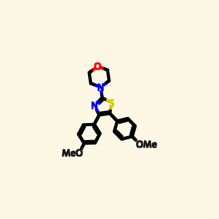 COc1ccc(-c2nc(N3CCOCC3)sc2-c2ccc(OC)cc2)cc1